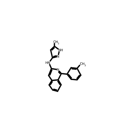 Cc1cccc(-c2nc(Nc3cc(C)[nH]n3)cc3ccccc23)c1